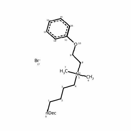 CCCCCCCCCCCCCC[N+](C)(C)CCOc1ccccc1.[Br-]